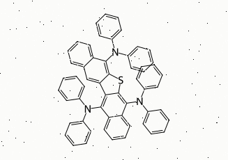 c1ccc(N(c2ccccc2)c2c3ccccc3cc3c2sc2c(N(c4ccccc4)c4ccccc4)c4ccccc4c(N(c4ccccc4)c4ccccc4)c23)cc1